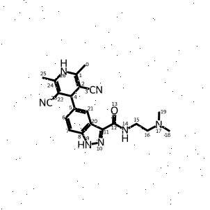 CC1=C(C#N)C(c2ccc3[nH]nc(C(=O)NCCN(C)C)c3c2)C(C#N)=C(C)N1